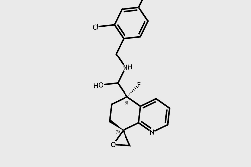 OC(NCc1ccc(Cl)cc1Cl)[C@]1(F)CC[C@]2(CO2)c2ncccc21